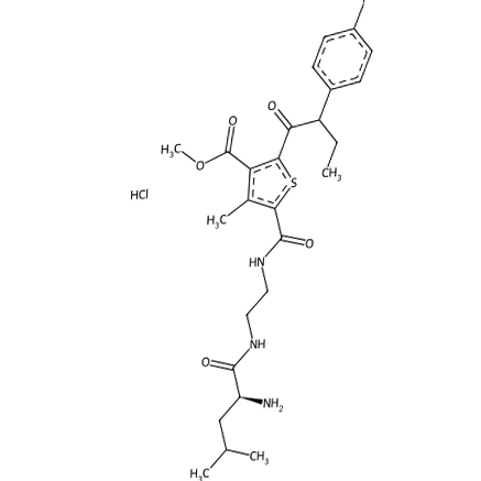 CCC(C(=O)c1sc(C(=O)NCCNC(=O)[C@@H](N)CC(C)C)c(C)c1C(=O)OC)c1ccc(F)cc1.Cl